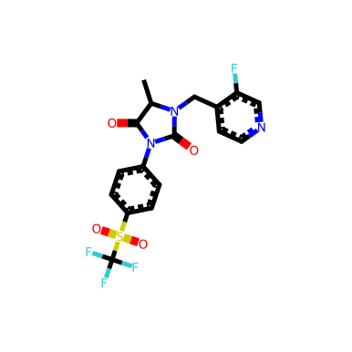 CC1C(=O)N(c2ccc(S(=O)(=O)C(F)(F)F)cc2)C(=O)N1Cc1ccncc1F